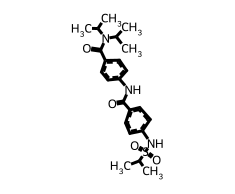 CC(C)N(C(=O)c1ccc(NC(=O)c2ccc(NS(=O)(=O)C(C)C)cc2)cc1)C(C)C